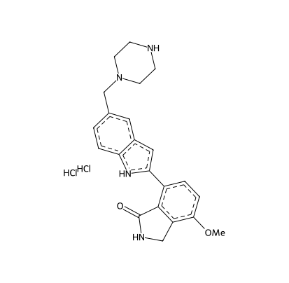 COc1ccc(-c2cc3cc(CN4CCNCC4)ccc3[nH]2)c2c1CNC2=O.Cl.Cl